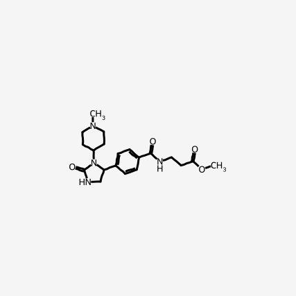 COC(=O)CCNC(=O)c1ccc(C2CNC(=O)N2C2CCN(C)CC2)cc1